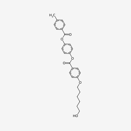 Cc1ccc(C(=O)Oc2ccc(OC(=O)c3ccc(OCCCCCCO)cc3)cc2)cc1